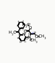 C=C(c1ccccc1)c1cccc(N(C)/C(=C\OC)C(=O)OC)n1